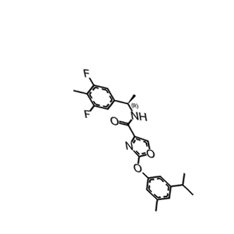 Cc1cc(Oc2nc(C(=O)N[C@H](C)c3cc(F)c(C)c(F)c3)co2)cc(C(C)C)c1